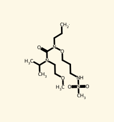 [CH2]CCN(OCCCNS(C)(=O)=O)C(=O)N(CCOC)C(C)C